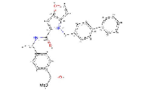 COC(=O)c1ccc([C@H](C)NC(=O)c2cc3occc3n2Cc2ccc(-c3ccccc3)cc2)cc1